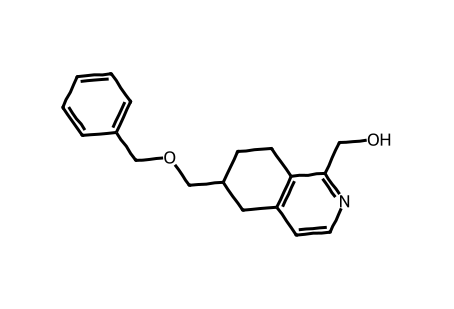 OCc1nccc2c1CCC(COCc1ccccc1)C2